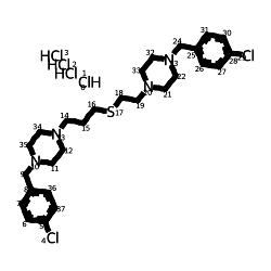 Cl.Cl.Cl.Cl.Clc1ccc(CN2CCN(CCCSCCN3CCN(Cc4ccc(Cl)cc4)CC3)CC2)cc1